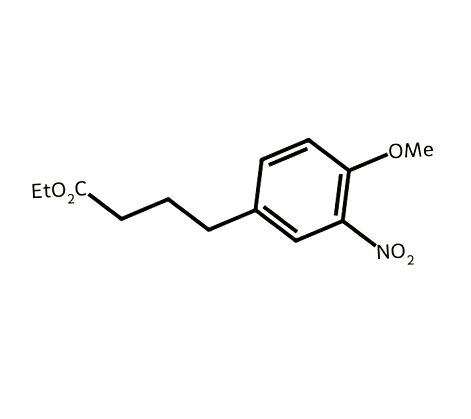 CCOC(=O)CCCc1ccc(OC)c([N+](=O)[O-])c1